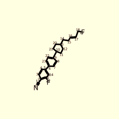 N#Cc1ccc(-c2ccc(C3CCC(CCC=CCF)CC3)cc2)cc1F